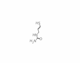 NC(=O)NCC=CS